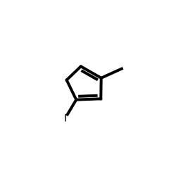 CC1=CCC(I)=C1